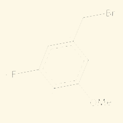 COc1cc(F)cc(CBr)c1